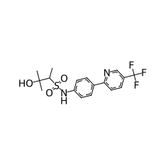 CC(C(C)(C)O)S(=O)(=O)Nc1ccc(-c2ccc(C(F)(F)F)cn2)cc1